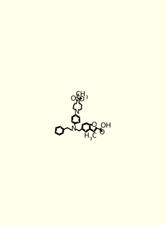 Cc1c(C(=O)O)oc2ccc(CN(CCc3ccccc3)c3ccc(N4CCN(S(C)(=O)=O)CC4)cc3)cc12